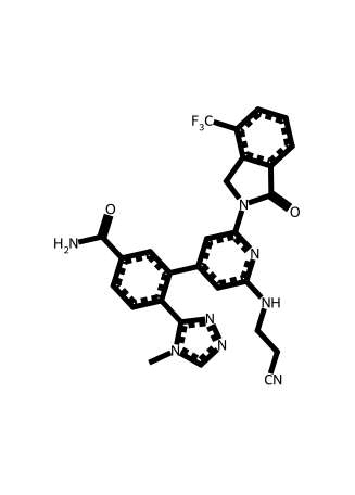 Cn1cnnc1-c1ccc(C(N)=O)cc1-c1cc(NCCC#N)nc(N2Cc3c(cccc3C(F)(F)F)C2=O)c1